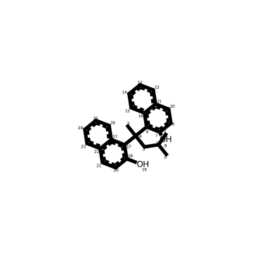 CC(C)CC(C)(c1c(O)ccc2ccccc12)c1c(O)ccc2ccccc12